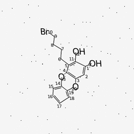 Oc1cc2c(c(CCCCBr)c1O)Oc1ccccc1O2